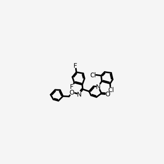 O=c1ccc(C(=NOCc2ccccc2)c2ccc(F)cc2F)cn1-c1c(Cl)cccc1Cl